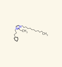 CCCCCCCCCCCCn1cc[n+](CCCc2ccccc2)c1CC